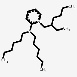 CCCCCCN(CCCCCC)c1cccc[n+]1CC(CC)CCCC